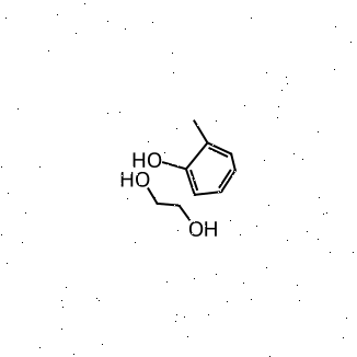 Cc1ccccc1O.OCCO